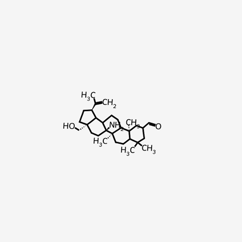 C=C(C)[C@@H]1CC[C@]2(CO)CC[C@]3(N)C(CCC4[C@@]5(C)CC(C=O)CC(C)(C)C5CC[C@]43C)C12